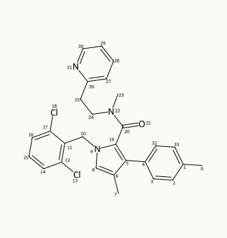 Cc1ccc(-c2c(C)cn(Cc3c(Cl)cccc3Cl)c2C(=O)N(C)CCc2ccccn2)cc1